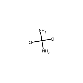 NC(N)(Cl)Cl